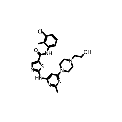 Cc1nc(Nc2ncc(C(=O)Nc3cccc(Cl)c3C)s2)cc(N2CCN(CCO)CC2)n1